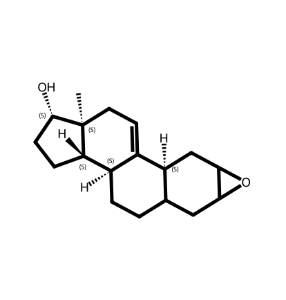 C[C@]12CC=C3[C@H]4CC5OC5CC4CC[C@H]3[C@@H]1CC[C@@H]2O